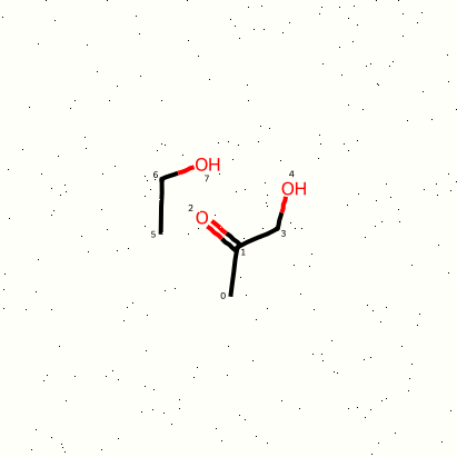 CC(=O)CO.CCO